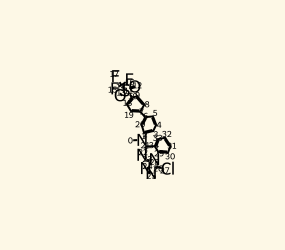 CN(c1cccc(-c2ccc(S(=O)(=O)C(F)(F)F)cc2)c1)c1nc2nnc(Cl)n2c2ccccc12